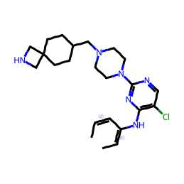 C/C=C\C(=C/C)Nc1nc(N2CCN(CC3CCC4(CC3)CNC4)CC2)ncc1Cl